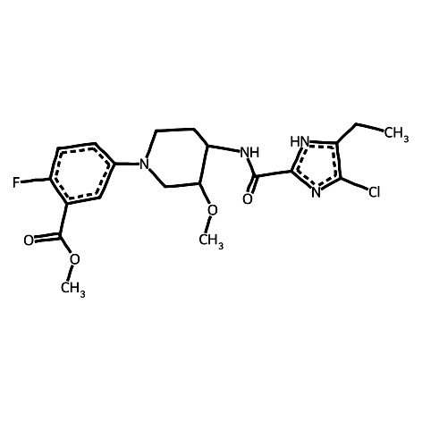 CCc1[nH]c(C(=O)NC2CCN(c3ccc(F)c(C(=O)OC)c3)CC2OC)nc1Cl